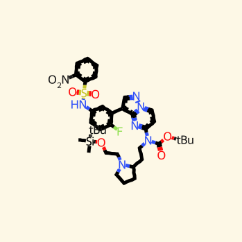 CC(C)(C)OC(=O)N(CCC1CCCN1CCO[Si](C)(C)C(C)(C)C)c1ccn2ncc(-c3cc(NS(=O)(=O)c4ccccc4[N+](=O)[O-])ccc3F)c2n1